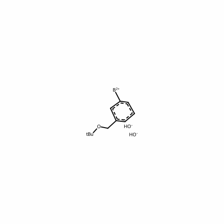 [B+2]c1cccc(COC(C)(C)C)c1.[OH-].[OH-]